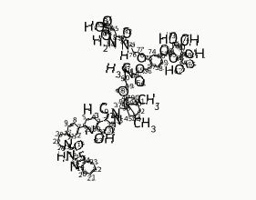 Cc1c(-c2ccc(-c3ccc4c(c3)N(C(=O)Nc3nc5ccccc5s3)CCC4)nc2C(=O)O)cnn1CC12CC3(C)CC(C)(C1)CC(OCCN(C)C(=O)OCc1ccc(O[C@@H]4O[C@H](C(=O)O)[C@@H](O)[C@H](O)[C@H]4O)cc1OCCCNC(=O)C(N)CS(=O)(=O)O)(C3)C2